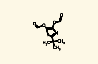 CC(C)(C)c1nc(OC=O)c(OC=O)s1